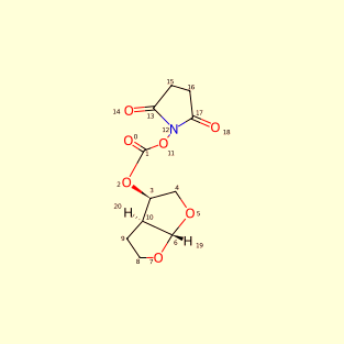 O=C(O[C@H]1CO[C@@H]2OCC[C@H]21)ON1C(=O)CCC1=O